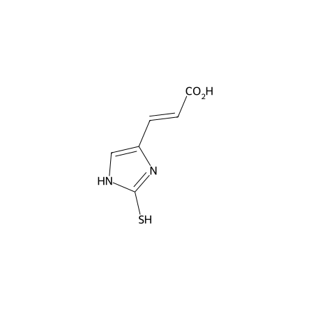 O=C(O)C=Cc1c[nH]c(S)n1